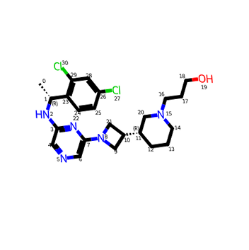 C[C@@H](Nc1cncc(N2CC([C@H]3CCCN(CCCO)C3)C2)n1)c1ccc(Cl)cc1Cl